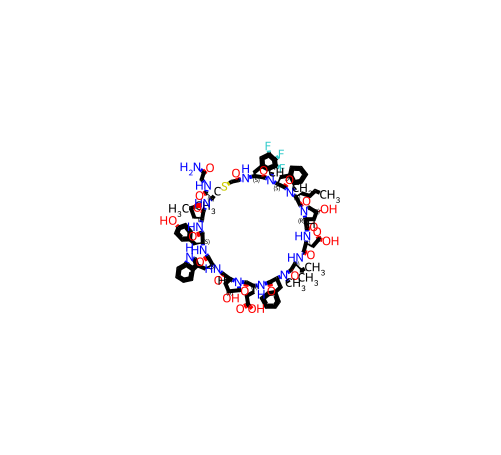 CCCC[C@H]1C(=O)N2C[C@H](O)C[C@@H]2C(=O)N[C@@H](CC(=O)O)C(=O)N[C@@H](C(C)C)C(=O)N(C)C(Cc2ccccc2)C(=O)N[C@@H](CCC(=O)O)C(=O)N2C[C@@H](O)C[C@@H]2C(=O)N[C@@H](Cc2c[nH]c3ccccc23)C(=O)N[C@@H](Cc2ccc(O)cc2)C(=O)N[C@@H](CC(C)C)C(=O)N[C@H](C(=O)NCC(N)=O)CSCC(=O)N[C@@H](Cc2cc(F)c(F)c(F)c2)C(=O)N(C)[C@@H](Cc2ccccc2)C(=O)N1C